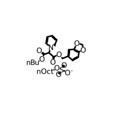 CCCCCCCCOS(=O)(=O)[O-].CCCCOC(=O)C(C(=O)OCc1ccc2c(c1)OCO2)[n+]1ccccc1